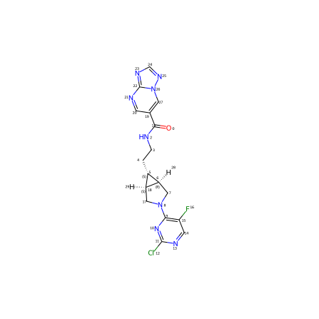 O=C(NCC[C@@H]1[C@H]2CN(c3nc(Cl)ncc3F)C[C@@H]12)c1cnc2ncnn2c1